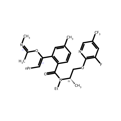 CCC/C=C(\O/C(C)=N\C)c1cc(C)ccc1C(=O)N(CC)[C@@H](C)COc1ncc(C(F)(F)F)cc1F